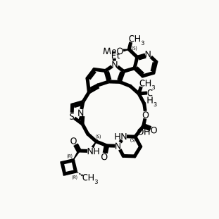 CCn1c(-c2cccnc2[C@H](C)OC)c2c3cc(ccc31)-c1csc(n1)C[C@H](NC(=O)[C@@H]1CC[C@H]1C)C(=O)N1CCC[C@@](O)(N1)C(=O)OCC(C)(C)C2